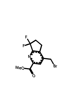 COC(=O)c1cc(CBr)c2c(n1)C(F)(F)CC2